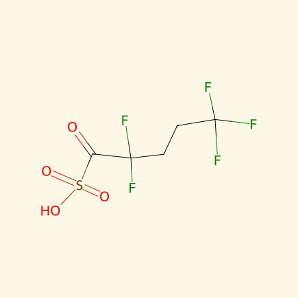 O=C(C(F)(F)CCC(F)(F)F)S(=O)(=O)O